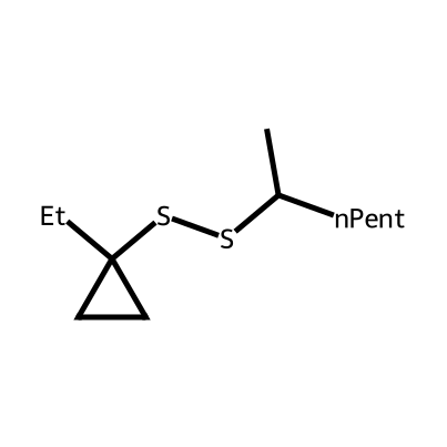 CCCCCC(C)SSC1(CC)CC1